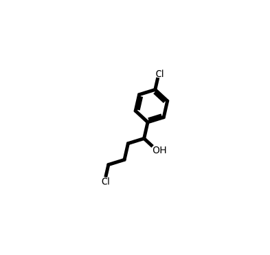 OC(CCCCl)c1ccc(Cl)cc1